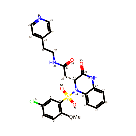 COc1ccc(Cl)cc1S(=O)(=O)N1c2ccccc2NC(=O)[C@H]1CC(=O)NCCc1ccncc1